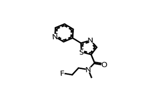 CN(CCF)C(=O)c1cnc(-c2cccnc2)s1